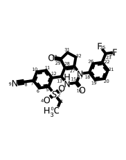 CCS(=O)(=O)c1cc(C#N)ccc1C1NC(=O)N(c2cccc(C(F)F)c2)C2=C1C(=O)CC2